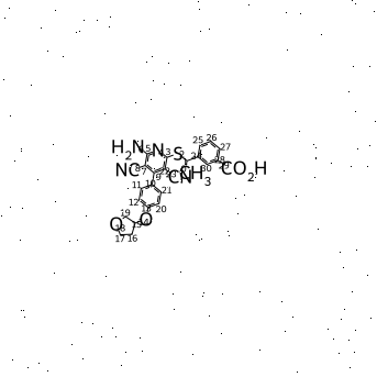 CC(Sc1nc(N)c(C#N)c(-c2ccc(OC3CCOC3)cc2)c1C#N)c1cccc(C(=O)O)c1